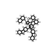 c1ccc2c(c1)Oc1c(-c3cccc4ccccc34)ccc(CN(c3ccc4c(c3)sc3ccccc34)c3ccc4oc5ccccc5c4c3)c1C21c2ccccc2-c2ccccc21